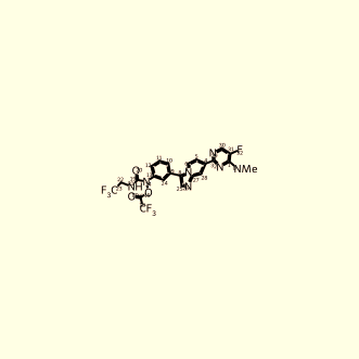 CNc1nc(-c2ccn3c(-c4cccc(N(OC(=O)C(F)(F)F)C(=O)NCC(F)(F)F)c4)cnc3c2)ncc1F